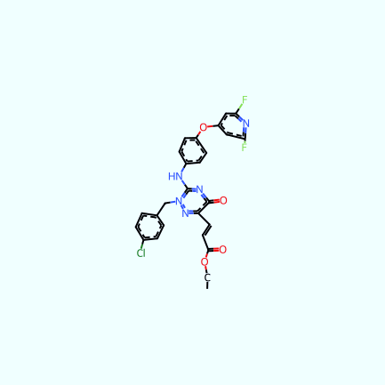 CCOC(=O)/C=C/c1nn(Cc2ccc(Cl)cc2)c(Nc2ccc(Oc3cc(F)nc(F)c3)cc2)nc1=O